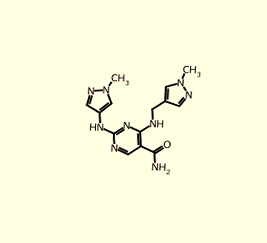 Cn1cc(CNc2nc(Nc3cnn(C)c3)ncc2C(N)=O)cn1